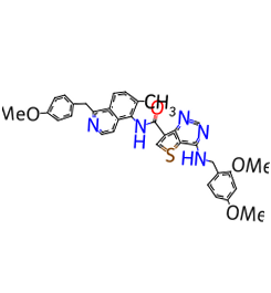 COc1ccc(Cc2nccc3c(NC(=O)c4csc5c(NCc6ccc(OC)cc6OC)ncnc45)c(C)ccc23)cc1